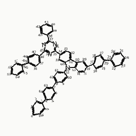 c1ccc(-c2ccc(-c3ccc(-n4c5ccc(-c6ccc(-c7ccccc7)cc6)cc5c5ccc(-c6nc(-c7ccccc7)nc(-c7ccc(-c8ccccc8)cc7)n6)cc54)cc3)cc2)cc1